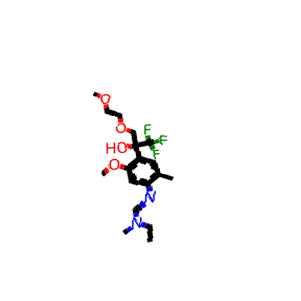 CCN(C)C=Nc1cc(OC)c(C(O)(COCCOC)C(F)(F)F)cc1C